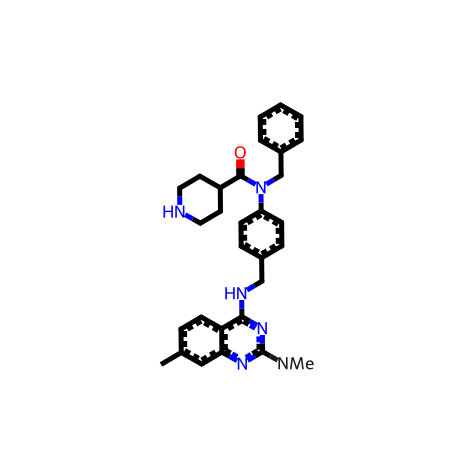 CNc1nc(NCc2ccc(N(Cc3ccccc3)C(=O)C3CCNCC3)cc2)c2ccc(C)cc2n1